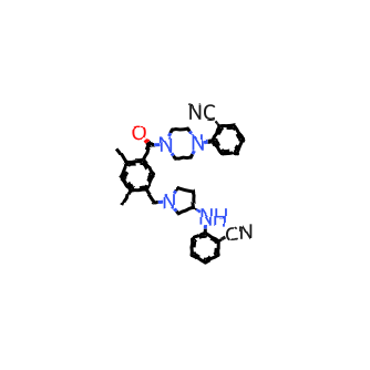 Cc1cc(C)c(C(=O)N2CCN(c3ccccc3C#N)CC2)cc1CN1CC[C@@H](Nc2ccccc2C#N)C1